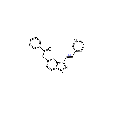 O=C(Nc1ccc2[nH]nc(/C=C/c3cccnc3)c2c1)c1ccccc1